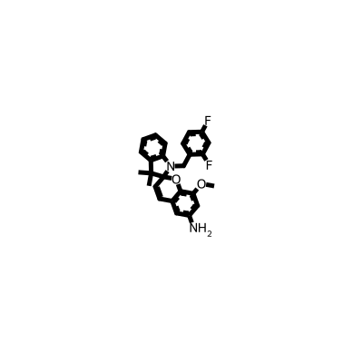 COc1cc(N)cc2c1OC1(C=C2)N(Cc2ccc(F)cc2F)c2ccccc2C1(C)C